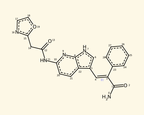 NC(=O)/C(=C/c1c[nH]c2nc(NC(=O)Cc3ncco3)ccc12)c1ccccc1